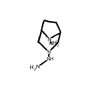 NNN1CC2CCC(C1)N2N